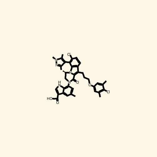 Cc1cc(N2C[C@@H](C)n3c(c(CCCOc4cc(C)c(Cl)c(C)c4)c4ccc(Cl)c(-c5c(C)nn(C)c5C)c43)C2=O)c2[nH]cc(C(=O)O)c2c1